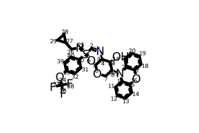 O=S(/C=N\[C@@H]1COC[C@H](N2c3ccccc3Oc3ccccc32)[C@@H]1O)(=NCC1CC1)c1ccc(OC(F)(F)F)cc1